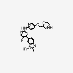 Cc1nc2ccc(-c3nc(Nc4ccc(OCC5CNCCO5)cn4)ncc3F)cc2n1C(C)C